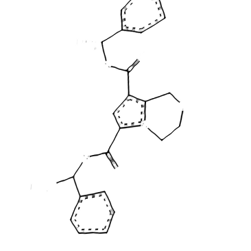 CCOC(=O)C(NC(=O)c1cc(C(=O)N[C@H](CC)c2ccccc2)c2n1CCOC2)c1ccccc1